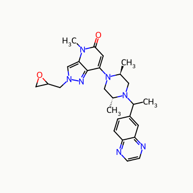 CC(c1ccc2nccnc2c1)N1C[C@H](C)N(c2cc(=O)n(C)c3cn(CC4CO4)nc23)C[C@H]1C